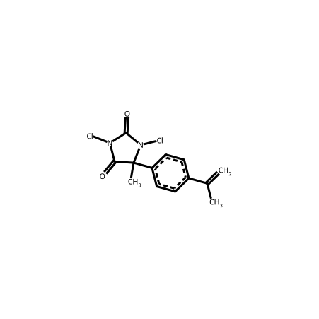 C=C(C)c1ccc(C2(C)C(=O)N(Cl)C(=O)N2Cl)cc1